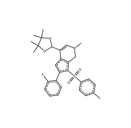 Cc1ccc(S(=O)(=O)n2c(-c3ccccc3F)cc3c2CN(C)C=C3B2OC(C)(C)C(C)(C)O2)cc1